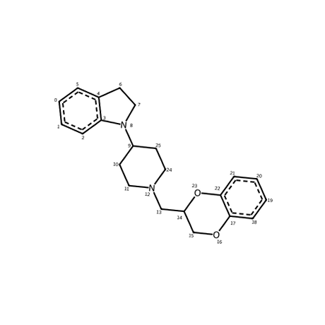 c1ccc2c(c1)CCN2C1CCN(CC2COc3ccccc3O2)CC1